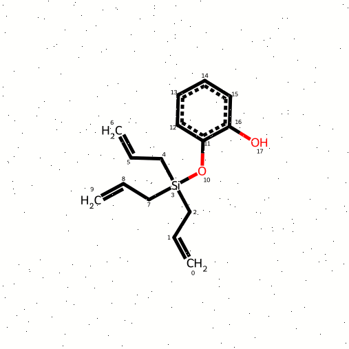 C=CC[Si](CC=C)(CC=C)Oc1ccccc1O